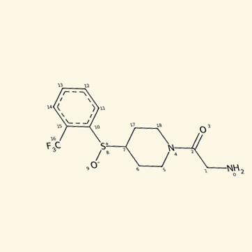 NCC(=O)N1CCC([S+]([O-])c2ccccc2C(F)(F)F)CC1